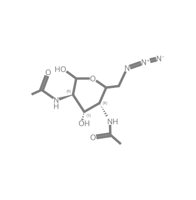 CC(=O)N[C@H]1C(O)OC(CN=[N+]=[N-])[C@H](NC(C)=O)[C@@H]1O